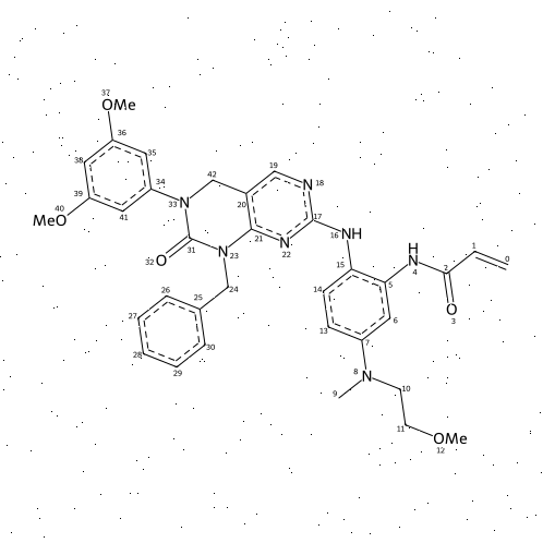 C=CC(=O)Nc1cc(N(C)CCOC)ccc1Nc1ncc2c(n1)N(Cc1ccccc1)C(=O)N(c1cc(OC)cc(OC)c1)C2